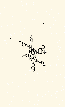 CCOCCN(CCOCC)c1nc(N2CCN(C)C(=O)C2)c2nc(N(CCOCC)CCOCC)nc(O)c2n1